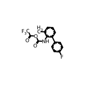 Cc1cccc(-c2ccc(F)cc2)c1NC(=O)OC(=O)C(F)(F)F